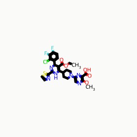 CCOC(=O)C1=C(C2CCN(c3cnc(OC)c(C(=O)O)n3)CC2)NC(c2nccs2)=NC1c1ccc(F)c(F)c1Cl